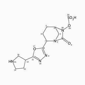 O=C1N2CC(CCC2c2nnc(C3CCNC3)o2)N1OS(=O)(=O)O